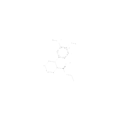 CCOC(=O)C1CNCCC1c1ccc(OC)c(OC)c1